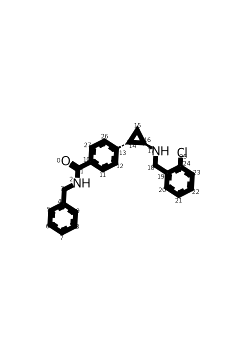 O=C(NCc1ccccc1)c1ccc([C@@H]2C[C@H]2NCc2ccccc2Cl)cc1